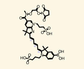 CN(OCC(=O)ON1C(=O)CCC1=O)C(=O)c1cc2c([n+](CCCS(=O)(=O)O)c1)N=C(/C=C/C=C/C=C1/N(CCCS(=O)(=O)O)c3ccc(B(O)O)cc3C1(C)C)C2(C)C